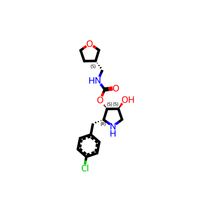 O=C(NC[C@@H]1CCOC1)O[C@@H]1[C@@H](O)CN[C@@H]1Cc1ccc(Cl)cc1